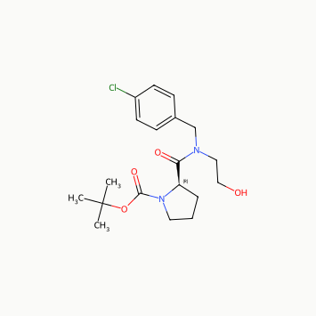 CC(C)(C)OC(=O)N1CCC[C@@H]1C(=O)N(CCO)Cc1ccc(Cl)cc1